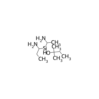 CCC(N)[SiH](OC(C)(C)CC)C(C)N